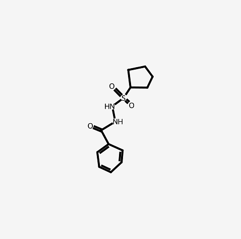 O=C(NNS(=O)(=O)C1CCCC1)c1ccccc1